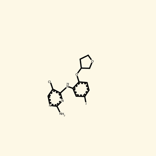 Nc1ncc(Cl)c(Nc2cc(I)ccc2OC2CCOC2)n1